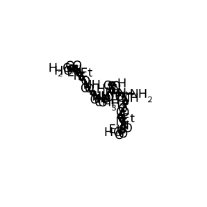 C=C1OCc2c(cc3n(c2=O)Cc2c-3nc3ccc(OCNC(=O)OCc4ccc(NC(=O)[C@H](C)NC(=O)[C@H](C)NC(=O)CN(CCN5C(=O)C=CC5=O)CC(=O)NCC(=O)N[C@@H](CCCCN)C(=O)Nc5ccc(COC(=O)Oc6ccc7nc8c(c(CC)c7c6)Cn6c-8cc7c(c6=O)COC(=O)[C@]7(O)CC)cc5)cc4)cc3c2CC)[C@@]1(O)CC